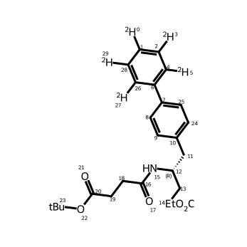 [2H]c1c([2H])c([2H])c(-c2ccc(C[C@H](CC(=O)OCC)NC(=O)CCC(=O)OC(C)(C)C)cc2)c([2H])c1[2H]